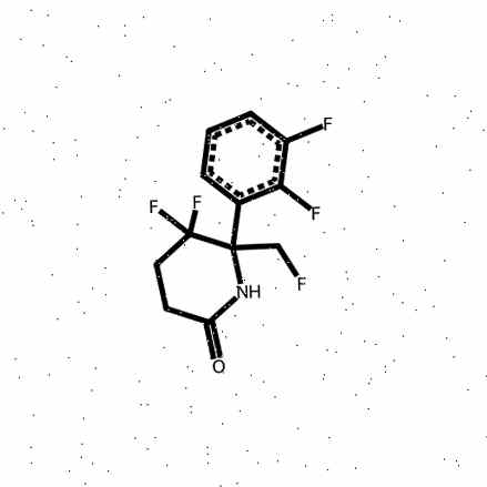 O=C1CCC(F)(F)C(CF)(c2cccc(F)c2F)N1